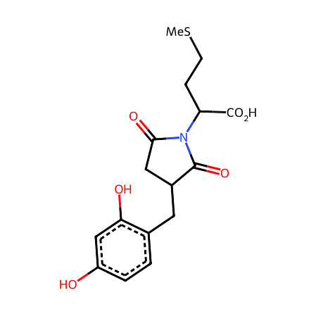 CSCCC(C(=O)O)N1C(=O)CC(Cc2ccc(O)cc2O)C1=O